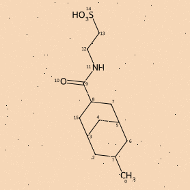 CC1CC2CC(C1)CC(C(=O)NCCS(=O)(=O)O)C2